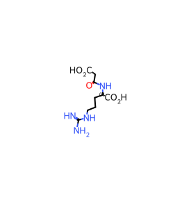 N=C(N)NCCC[C@H](NC(=O)CC(=O)O)C(=O)O